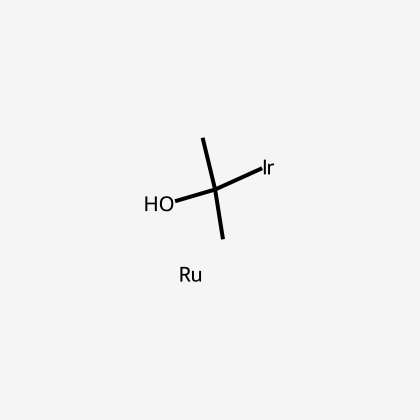 C[C](C)(O)[Ir].[Ru]